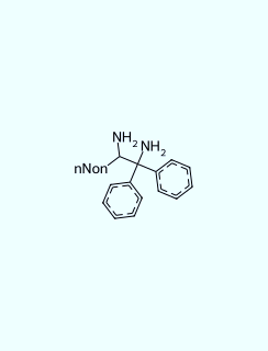 CCCCCCCCCC(N)C(N)(c1ccccc1)c1ccccc1